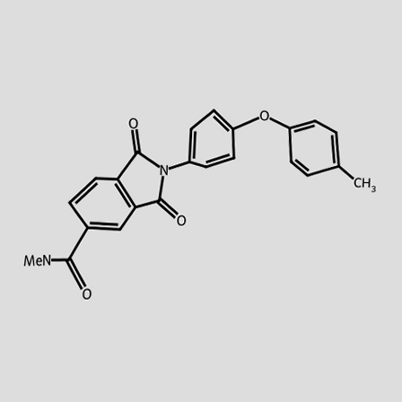 CNC(=O)c1ccc2c(c1)C(=O)N(c1ccc(Oc3ccc(C)cc3)cc1)C2=O